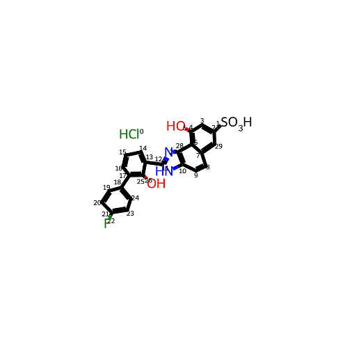 Cl.O=S(=O)(O)c1cc(O)c2c(ccc3[nH]c(-c4cccc(-c5ccc(F)cc5)c4O)nc32)c1